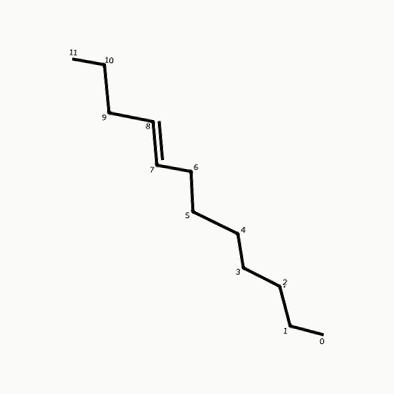 CC[CH]CCCC/C=C/CCC